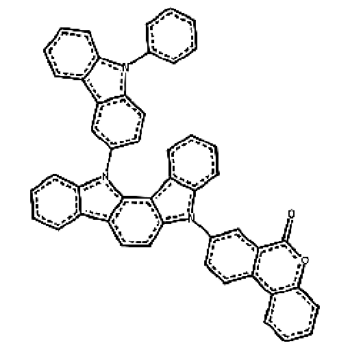 O=c1oc2ccccc2c2ccc(-n3c4ccccc4c4c3ccc3c5ccccc5n(-c5ccc6c(c5)c5ccccc5n6-c5ccccc5)c34)cc12